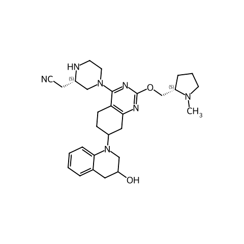 CN1CCC[C@H]1COc1nc2c(c(N3CCN[C@@H](CC#N)C3)n1)CCC(N1CC(O)Cc3ccccc31)C2